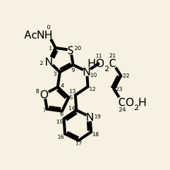 CC(=O)Nc1nc(-c2ccco2)c(N(C)CCc2ccccn2)s1.O=C(O)/C=C/C(=O)O